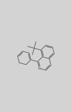 CC(C)(C)c1cccc2ccnc(C3=CC=CCC3)c12